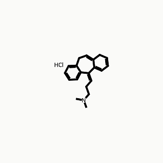 CN(C)CCC=C1C2=CC=CCC2=CCc2ccccc21.Cl